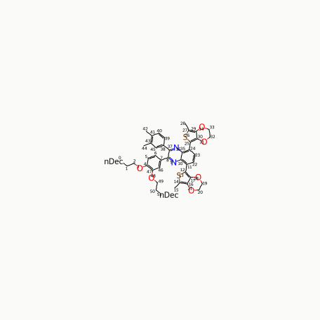 CCCCCCCCCCCCOc1ccc(-c2nc3c(-c4sc(C)c5c4OCCO5)ccc(-c4sc(C)c5c4OCCO5)c3nc2-c2ccc(C)c(C)c2)cc1OCCCCCCCCCCCC